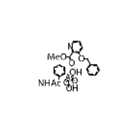 CC(=O)Nc1ccccc1[As](=O)(O)OO.COC(=O)c1ncccc1OCc1ccccc1